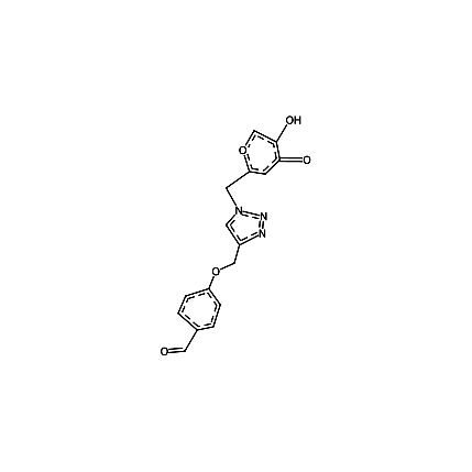 O=Cc1ccc(OCc2cn(Cc3cc(=O)c(O)co3)nn2)cc1